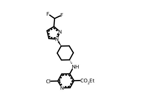 CCOC(=O)c1cnc(Cl)cc1N[C@H]1CC[C@H](n2ccc(C(F)F)n2)CC1